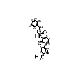 Cc1ccc(-n2cccc(NC(=O)OCc3ccccc3)c2=O)nn1